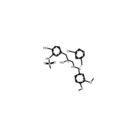 COc1ccc([C@@H](Cc2cccc(Cl)c2)NC[C@@H](O)Cc2ccc(O)c(NS(C)(=O)=O)c2)cc1OC